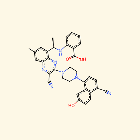 Cc1cc([C@@H](C)Nc2ccccc2C(=O)O)c2nc(N3CCN(c4ccc(C#N)c5ccc(O)cc45)CC3)c(C#N)nc2c1